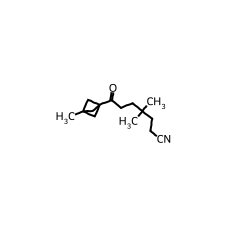 CC(C)(CCC#N)CCC(=O)C12CC(C)(C1)C2